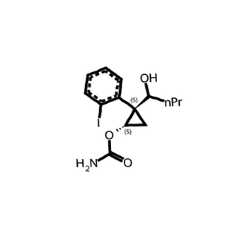 CCCC(O)[C@@]1(c2ccccc2I)C[C@@H]1OC(N)=O